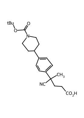 CC(C)(C)OC(=O)N1CCC(c2ccc(C(C)(C#N)CCC(=O)O)cc2)CC1